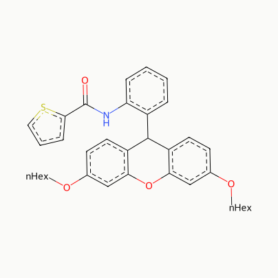 CCCCCCOc1ccc2c(c1)Oc1cc(OCCCCCC)ccc1C2c1ccccc1NC(=O)c1cccs1